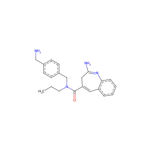 CCCN(Cc1ccc(CN)cc1)C(=O)C1=Cc2ccccc2N=C(N)C1